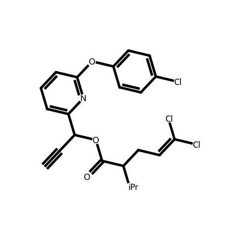 C#CC(OC(=O)C(CC=C(Cl)Cl)C(C)C)c1cccc(Oc2ccc(Cl)cc2)n1